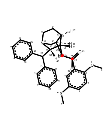 COc1ccc(SC)cc1CN[C@H]1[C@@H]2CCN(C[C@@H]2OC(=O)O)[C@H]1C(c1ccccc1)c1ccccc1